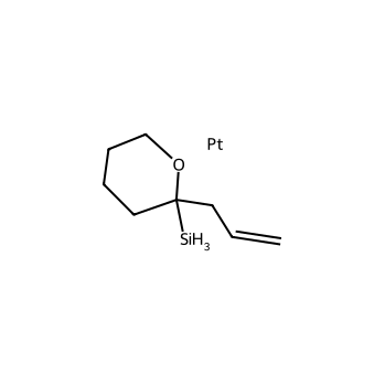 C=CCC1([SiH3])CCCCO1.[Pt]